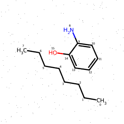 CCCCCCCC.Nc1ccccc1O